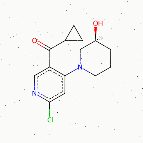 O=C(c1cnc(Cl)cc1N1CCC[C@H](O)C1)C1CC1